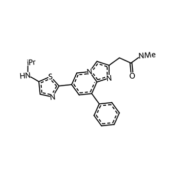 CNC(=O)Cc1cn2cc(-c3ncc(NC(C)C)s3)cc(-c3ccccc3)c2n1